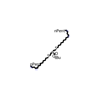 CCCCC/C=C\C/C=C\CCCCCCCCSCCN(CCSCCCCCCCC/C=C\C/C=C\CCCCC)C(=O)OC(C)(C)C